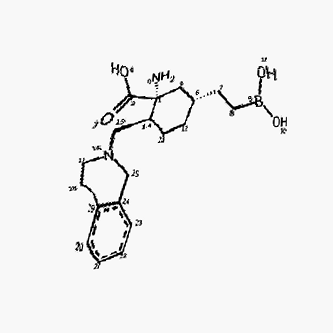 N[C@]1(C(=O)O)C[C@H](CCB(O)O)CC[C@H]1CN1CCc2ccccc2C1